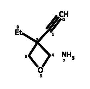 C#CC1(CC)COC1.N